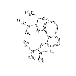 CC(C)/C(=N\c1cccc2cccc(N=C(N(C)C)N(C)C)c12)N(C)C